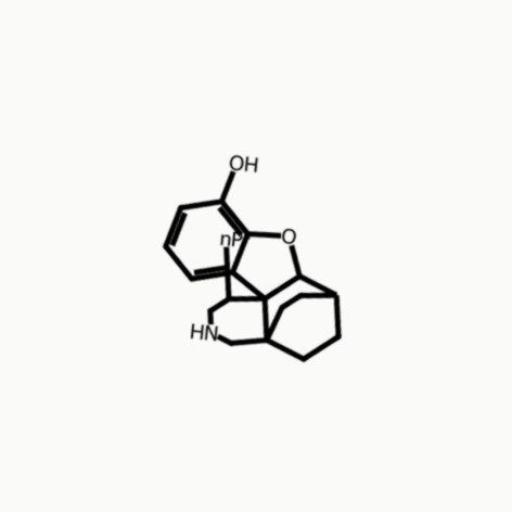 CCCC1CNCC23CCC(CC2)C2Oc4c(O)cccc4C123